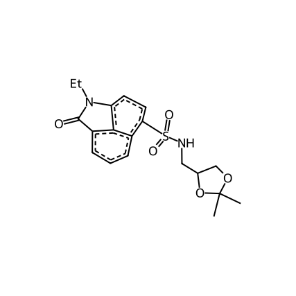 CCN1C(=O)c2cccc3c(S(=O)(=O)NCC4COC(C)(C)O4)ccc1c23